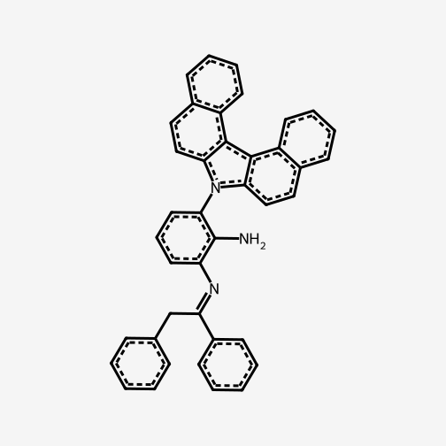 Nc1c(/N=C(\Cc2ccccc2)c2ccccc2)cccc1-n1c2ccc3ccccc3c2c2c3ccccc3ccc21